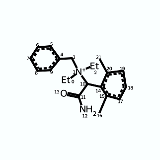 CC[N+](CC)(Cc1ccccc1)C(C(N)=O)c1c(C)cccc1C